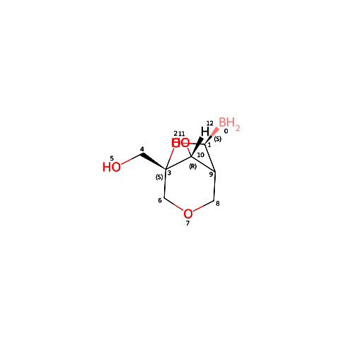 B[C@@H]1O[C@@]2(CO)COCC1[C@H]2O